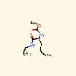 C=CC[C@H](NC(=O)OC(C)(C)C)C(=O)NCC(F)(F)F